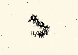 Cn1ncc(Nc2nccc(-c3ccn4c(Cc5cccc(F)c5F)nnc4c3)n2)n1